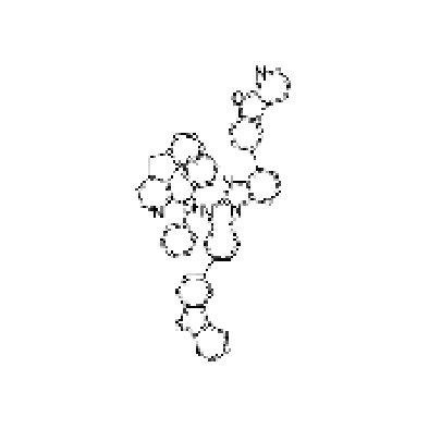 c1ccc([Si](c2ccccc2)(c2nccc3c2-c2ccccc2C3)n2c3cc(-c4ccc5sc6ccccc6c5c4)ccc3n3c4cccc(-c5ccc6oc7ncccc7c6c5)c4nc23)cc1